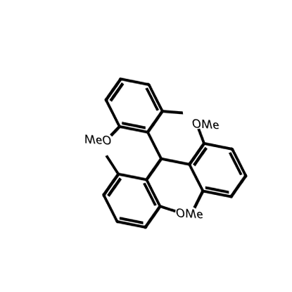 COc1cccc(C)c1C(c1c(C)cccc1OC)c1c(C)cccc1OC